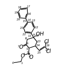 CCOC(=O)C1C(=O)CC(O)(c2ccc(-c3ccccc3)cc2)CC1C=C(Cl)Cl